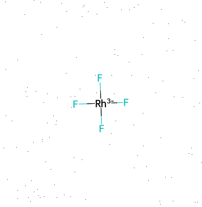 [F][Rh-3]([F])([F])[F]